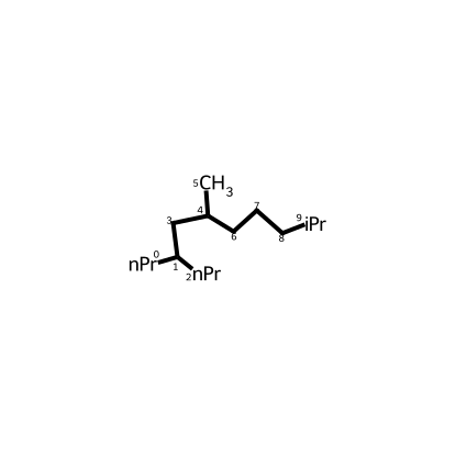 CCCC(CCC)CC(C)CCCC(C)C